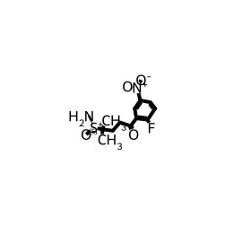 CC(C)(CCC(=O)c1cc([N+](=O)[O-])ccc1F)[S@+](N)[O-]